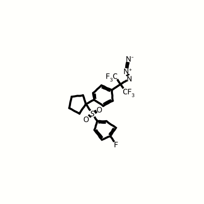 [N-]=[N+]=NC(c1ccc(C2(S(=O)(=O)c3ccc(F)cc3)CCCC2)cc1)(C(F)(F)F)C(F)(F)F